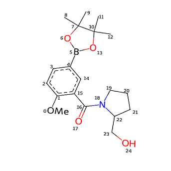 COc1ccc(B2OC(C)(C)C(C)(C)O2)cc1C(=O)N1CCCC1CO